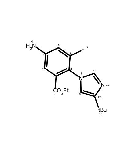 CCOC(=O)c1cc(N)cc(F)c1-n1cnc(C(C)(C)C)c1